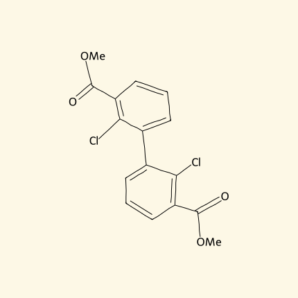 COC(=O)c1cccc(-c2cccc(C(=O)OC)c2Cl)c1Cl